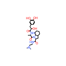 CC(NC(=O)C(O)Cc1ccc(O)c(O)c1)C(=O)N1C(C(=O)NCCN(C)C)CC2CCCCC21